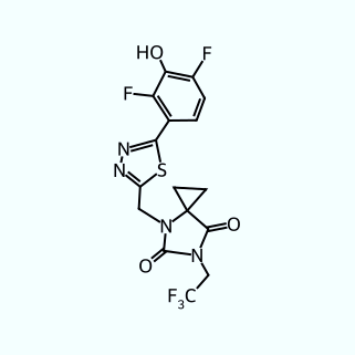 O=C1N(CC(F)(F)F)C(=O)C2(CC2)N1Cc1nnc(-c2ccc(F)c(O)c2F)s1